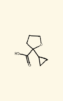 O=C(O)C1(C2CC2)CCCO1